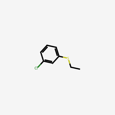 CCSc1[c]c(Cl)ccc1